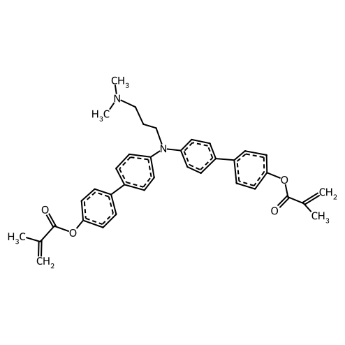 C=C(C)C(=O)Oc1ccc(-c2ccc(N(CCCN(C)C)c3ccc(-c4ccc(OC(=O)C(=C)C)cc4)cc3)cc2)cc1